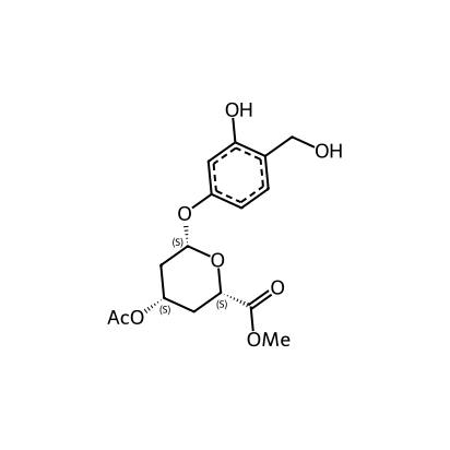 COC(=O)[C@@H]1C[C@H](OC(C)=O)C[C@H](Oc2ccc(CO)c(O)c2)O1